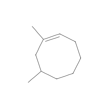 CC1=CCCCCC(C)C1